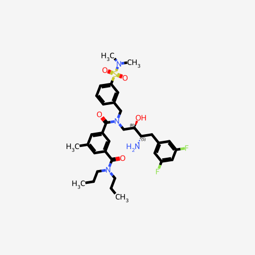 CCCN(CCC)C(=O)c1cc(C)cc(C(=O)N(Cc2cccc(S(=O)(=O)N(C)C)c2)C[C@@H](O)[C@@H](N)Cc2cc(F)cc(F)c2)c1